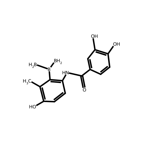 BB(B)c1c(NC(=O)c2ccc(O)c(O)c2)ccc(O)c1C